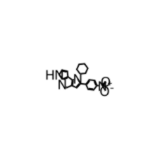 O=[N+]([O-])c1ccc(-c2cc3cnc4[nH]ccc4c3n2C2CCCCC2)cc1